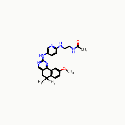 COc1ccc2c(c1)-c1nc(Nc3ccc(NCCNC(C)=O)nc3)ncc1CC2(C)C